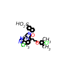 Cc1cc(OCCCc2c3n(c4c(-c5c(C)ncnc5C)c(Cl)ccc24)CCCN(c2cccc4cc(C(=O)O)ccc24)C3=O)cc(C)c1Cl